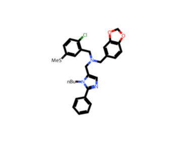 CCCCn1c(CN(Cc2ccc3c(c2)OCO3)Cc2cc(SC)ccc2Cl)cnc1-c1ccccc1